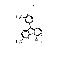 Cc1ccc2c(-c3ccnc(C)n3)c3ccnc(N)n3c2n1